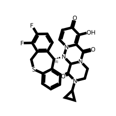 O=C1C2N(CCN1C1CC1)C(=O)c1c(O)c(=O)ccn1N2[C@@H]1c2ccccc2SCc2c1ccc(F)c2F